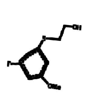 COc1cc(F)cc(SCCO)c1